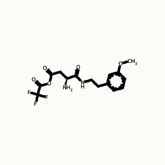 COc1cccc(CCNC(=O)[C@@H](N)CC(=O)OC(=O)C(F)(F)F)c1